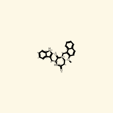 COc1ccc2ccccc2c1CN1CCC(=O)N[C@@H](Cc2c[nH]c3ccccc23)C1=O